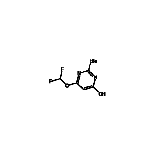 CC(C)(C)c1nc(O)cc(OC(F)F)n1